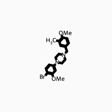 COc1ccc(CN2CCN(c3ccc(Br)c(OC)c3)CC2)cc1C